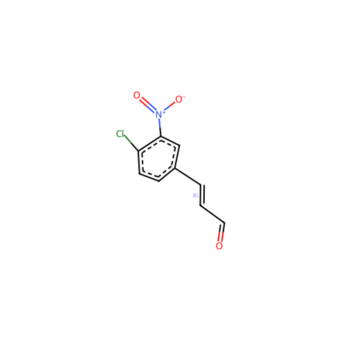 O=C/C=C/c1ccc(Cl)c([N+](=O)[O-])c1